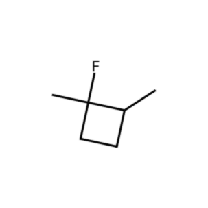 CC1CCC1(C)F